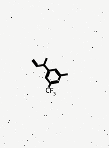 C=C[C](C)c1cc(C)cc(C(F)(F)F)c1